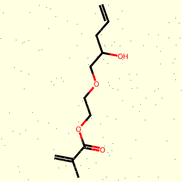 C=CCC(O)COCCOC(=O)C(=C)C